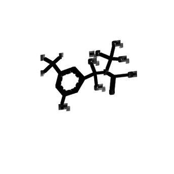 CC(C)(C)N(C(=O)O)C(C)(C)c1cc(N)cc(C(F)(F)F)c1